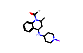 CCC(=O)N1c2ccccc2C(NC2CCN(I)CC2)CC1C